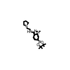 Cn1nc(NCCN2CCCC2)c2ccc(B3OC(C)(C)C(C)(C)O3)cc21